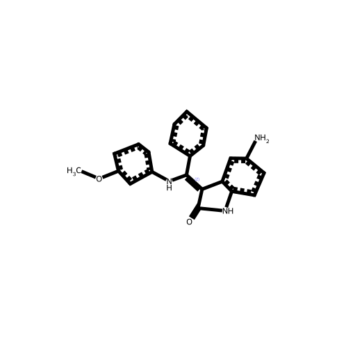 COc1cccc(N/C(=C2\C(=O)Nc3ccc(N)cc32)c2ccccc2)c1